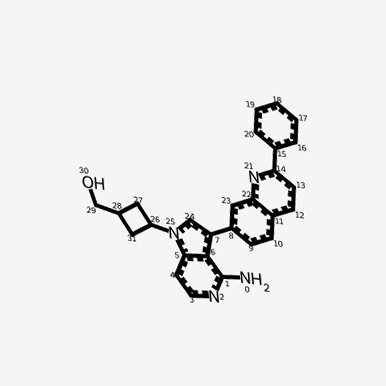 Nc1nccc2c1c(-c1ccc3ccc(-c4ccccc4)nc3c1)cn2C1CC(CO)C1